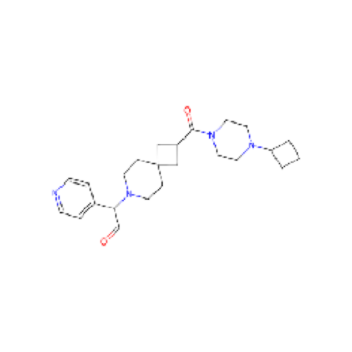 O=CC(c1ccncc1)N1CCC2(CC1)CC(C(=O)N1CCN(C3CCC3)CC1)C2